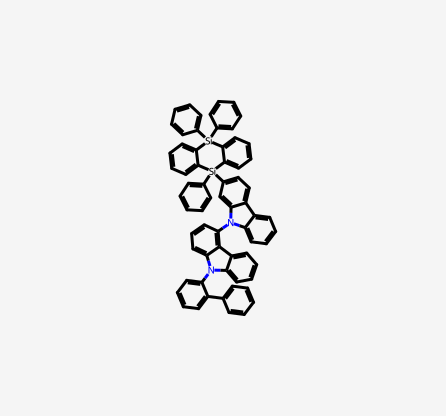 c1ccc(-c2ccccc2-n2c3ccccc3c3c(-n4c5ccccc5c5ccc([Si]6(c7ccccc7)c7ccccc7[Si](c7ccccc7)(c7ccccc7)c7ccccc76)cc54)cccc32)cc1